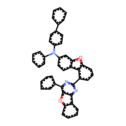 c1ccc(-c2ccc(N(c3ccccc3)c3ccc4c(c3)oc3cccc(-c5nc(-c6ccccc6)c6oc7ccccc7c6n5)c34)cc2)cc1